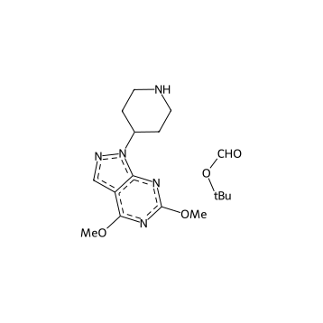 CC(C)(C)OC=O.COc1nc(OC)c2cnn(C3CCNCC3)c2n1